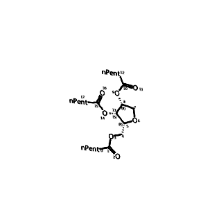 CCCCCC(=O)OC[C@H]1OC[C@@H](OC(=O)CCCCC)[C@H]1OC(=O)CCCCC